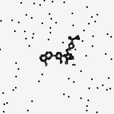 O=C(C1CC1)N1CC[C@@H](Cc2n[nH]c(=O)n2-c2ccc(-c3ccc4cccc(F)c4c3)cc2F)C1